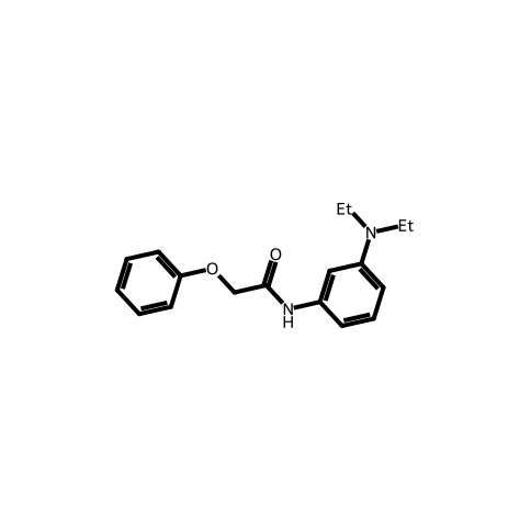 CCN(CC)c1cccc(NC(=O)COc2ccccc2)c1